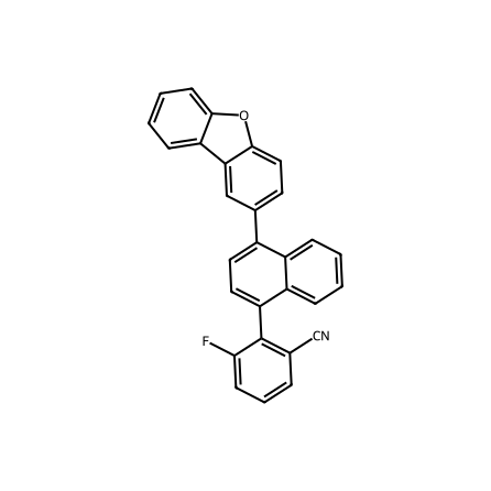 N#Cc1cccc(F)c1-c1ccc(-c2ccc3oc4ccccc4c3c2)c2ccccc12